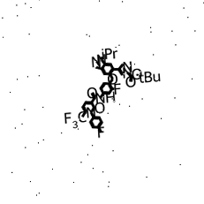 CC(C)n1ncc2cc(Oc3ccc(NC(=O)c4ccc(C(F)(F)F)n(-c5ccc(F)cc5)c4=O)cc3F)c(-c3cnn(C(=O)OC(C)(C)C)c3)cc21